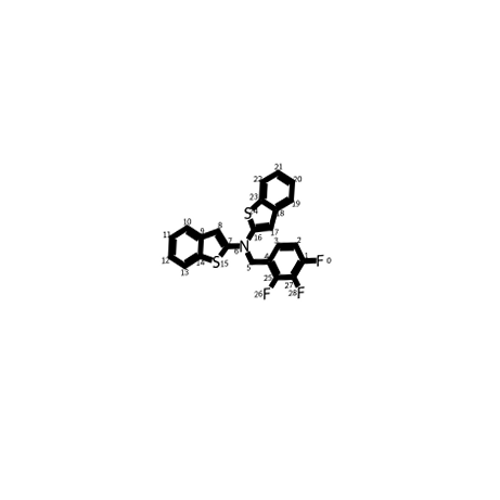 Fc1ccc(CN(c2cc3ccccc3s2)c2cc3ccccc3s2)c(F)c1F